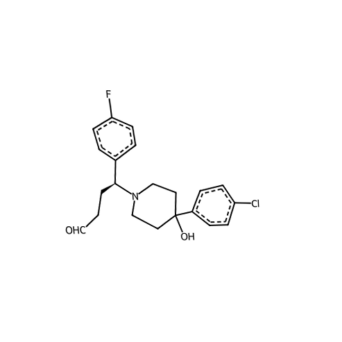 O=CCC[C@@H](c1ccc(F)cc1)N1CCC(O)(c2ccc(Cl)cc2)CC1